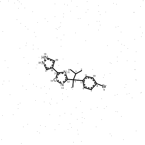 CC(C)C(C)(c1ccc(Br)cc1)c1noc(-c2cn[nH]c2)n1